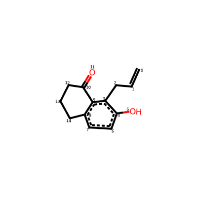 C=CCc1c(O)ccc2c1C(=O)CCC2